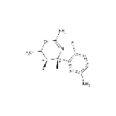 C[C@]1(c2nc(N)ccc2F)N=C(N)OC(C(F)(F)F)[C@@H]1F